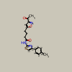 CC(=O)c1cc(CCCC(=O)Nc2nc(-c3ccc(C)cc3)cs2)on1